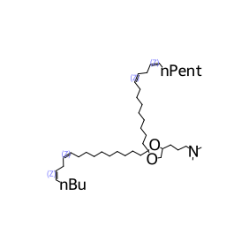 CCCC/C=C\C/C=C\CCCCCCCCCC1(CCCCCCCC/C=C\C/C=C\CCCCC)OCC(CCCN(C)C)O1